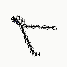 Cc1cc(N(CCOCCOCCOCCOCCOCCOCCOCCOCCOCCO)CCOCCOCCOCCOCCOCCOCCOCCOCCOCCO)ccc1/N=N/c1nc2c(C)cccc2s1